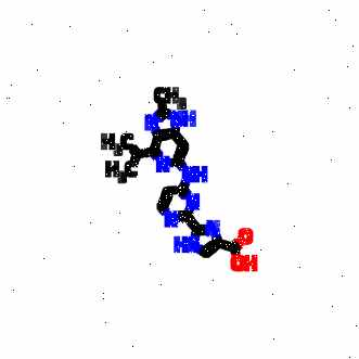 Cc1nc2c(C(C)C)nc(Nc3ccnc(-c4nc(C(=O)O)c[nH]4)n3)cc2[nH]1